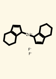 C1=C[CH]([Zr+2][CH]2C=CC3=C2CCCC3)C2=C1CCCC2.[F-].[F-]